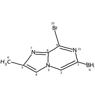 Bc1cn2cc(C)nc2c(Br)n1